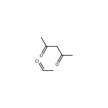 CC(=O)CC(C)=O.C[CH]=[Cr]